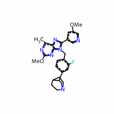 COc1cncc(-c2nc3c(C)nc(OC)nc3n2Cc2ccc(C3CN4CCC3CC4)cc2F)c1